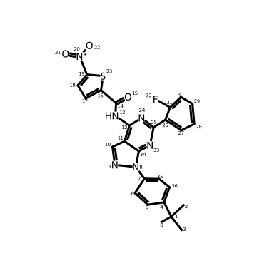 CC(C)(C)c1ccc(-n2ncc3c(NC(=O)c4ccc([N+](=O)[O-])s4)nc(-c4ccccc4F)nc32)cc1